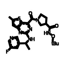 Cc1cc2nc(NC(C)c3cncc(F)c3)nc(C(=O)N3CCC(C(=O)NOC(C)(C)C)C3)c2s1